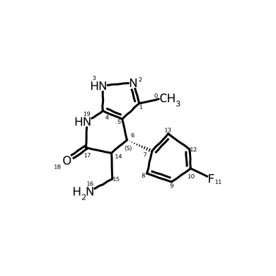 Cc1n[nH]c2c1[C@H](c1ccc(F)cc1)C(CN)C(=O)N2